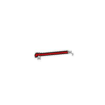 COCCOCCOCCOCCOCCOCCOCCOCCOCCOCCOCCOCCOCCOCCOCCOCCOCCOCCOCCOCCOCCOCCOCCOCCC(=O)NCCCC[C@@H](C(=O)O)C1SSC2(SS1)SS2